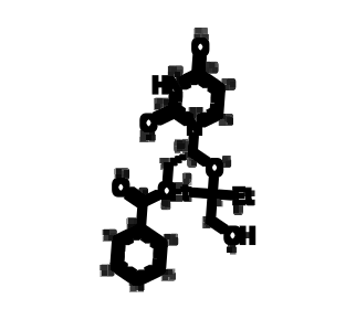 CCC(CC)(CO)O[C@H](COC(=O)c1ccccc1)n1ccc(=O)[nH]c1=O